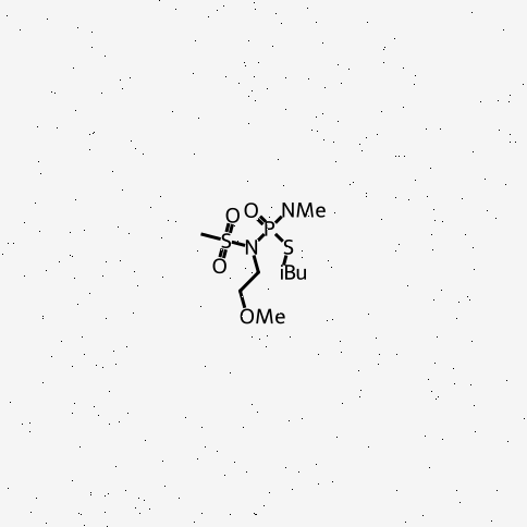 CCC(C)SP(=O)(NC)N(CCOC)S(C)(=O)=O